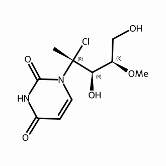 CO[C@H](CO)[C@@H](O)[C@@](C)(Cl)n1ccc(=O)[nH]c1=O